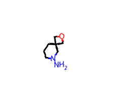 NN1CCCC2(COC2)C1